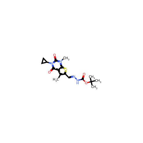 Cc1c(C=NNC(=O)OC(C)(C)C)sc2c1c(=O)n(C1CC1)c(=O)n2C